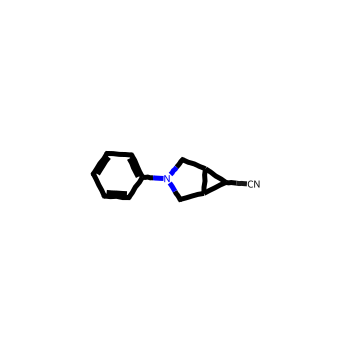 N#CC1C2CN(c3ccccc3)CC12